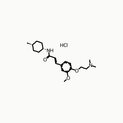 COc1cc(C=CC(=O)N[C@H]2CC[C@H](C)CC2)ccc1OCCN(C)C.Cl